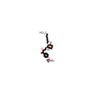 CC(C(=O)CC[C@@H]1[C@H](CCCCCCC(=O)O)[C@@H]2CC[C@H]1O2)c1ccc(O[Si](C)(C)C(C)(C)C)cc1